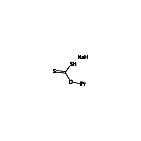 CC(C)OC(=S)S.[NaH]